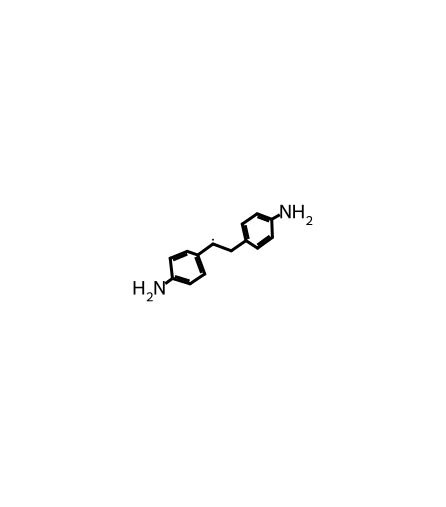 Nc1ccc([CH]Cc2ccc(N)cc2)cc1